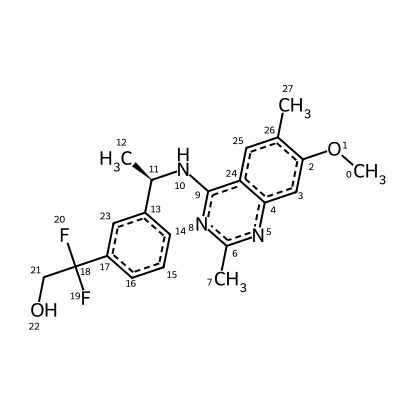 COc1cc2nc(C)nc(N[C@H](C)c3cccc(C(F)(F)CO)c3)c2cc1C